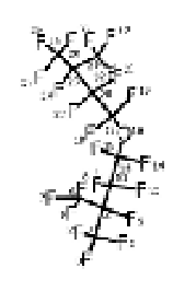 FC(F)(F)C(F)(C(F)(F)F)C(F)(F)C(F)(F)OC(F)(F)C(F)(F)C(F)(C(F)(F)F)C(F)(F)F